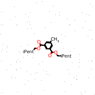 CCCC(C)COC(=O)c1cc(C)cc(C(=O)OCC(C)CCC)c1